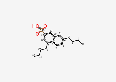 CCCCc1ccc2c(CCCC)cc(S(=O)(=O)O)cc2c1